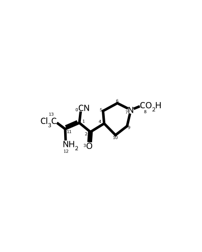 N#C/C(C(=O)C1CCN(C(=O)O)CC1)=C(/N)C(Cl)(Cl)Cl